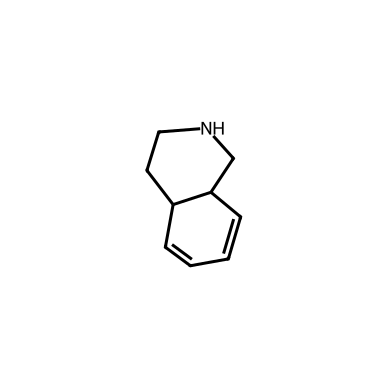 C1=CC2CCNCC2C=C1